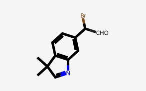 CC1(C)C=Nc2cc(C(Br)C=O)ccc21